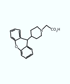 O=C(O)CN1CCC(C2c3ccccc3Oc3ccccc32)CC1